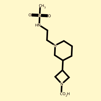 CS(=O)(=O)NCCN1CCCC(C2CN(C(=O)O)C2)C1